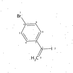 C=C(I)c1ccc(Br)cc1